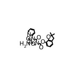 CN(C(=O)Oc1cccc2c1OC(C)(C)C2)C(=O)N(c1ccccn1)S(N)(=O)=O